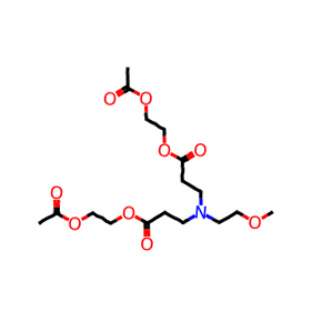 COCCN(CCC(=O)OCCOC(C)=O)CCC(=O)OCCOC(C)=O